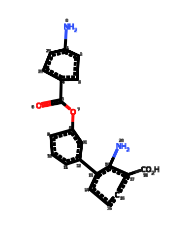 Nc1ccc(C(=O)Oc2cccc(-c3cccc(C(=O)O)c3N)c2)cc1